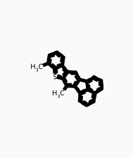 Cc1cccc2c1sc1c(C)c3c(cc12)-c1cccc2cccc-3c12